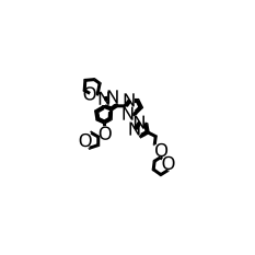 c1cc(-n2cc(CCOC3CCCCO3)cn2)nc(-c2nn(C3CCCCO3)c3ccc(O[C@@H]4CCOC4)cc23)n1